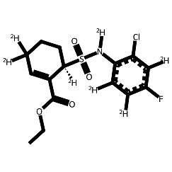 [2H]c1c([2H])c(N([2H])S(=O)(=O)[C@]2([2H])CCC([2H])([2H])C=C2C(=O)OCC)c(Cl)c([2H])c1F